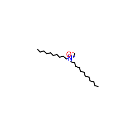 CCCCCCCCCCCC[N+]([O-])(CC)CCCCCCCCCC